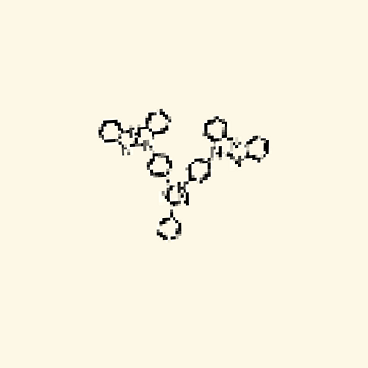 c1ccc(-c2nc(-c3ccc(-n4c5ccccc5n5c6ccccc6nc45)cc3)n(-c3ccc(-n4c5ccccc5n5c6ccccc6nc45)cc3)n2)cc1